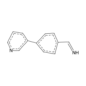 N=Cc1ccc(-c2cccnc2)cc1